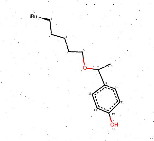 CC[C@H](C)CCCCCOC(C)c1ccc(O)cc1